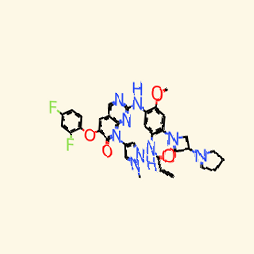 C=CC(=O)Nc1cc(Nc2ncc3cc(Oc4ccc(F)cc4F)c(=O)n(-c4cnn(C)c4)c3n2)c(OC)cc1N1CC(N2CCCC2)C1